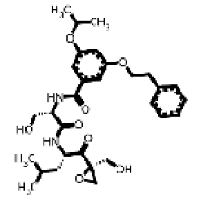 CC(C)C[C@H](NC(=O)[C@H](CO)NC(=O)c1cc(OCCc2ccccc2)cc(OC(C)C)c1)C(=O)[C@@]1(CO)CO1